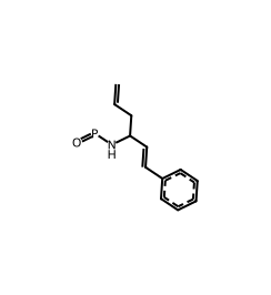 C=CCC(C=Cc1ccccc1)NP=O